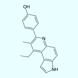 CCc1c(C)c(-c2ccc(O)cc2)nc2ccc3[nH]ccc3c12